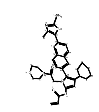 C=CC(=O)Oc1cc(C2CCCCC2)c(-c2ccc3nc(-c4sc(N)nc4C)ccc3c2)n1CC(=O)N1CCOCC1